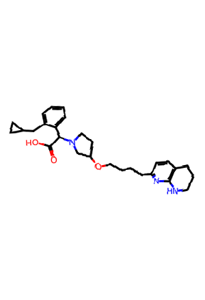 O=C(O)C(c1ccccc1CC1CC1)N1CCC(OCCCCc2ccc3c(n2)NCCC3)C1